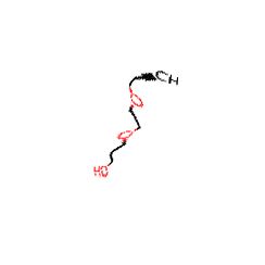 C#CCOCCOCCCO